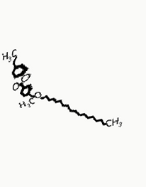 CCCCCCCCCCCCCCCCCCOC(C)c1ccc(C(=O)Oc2ccc(CCC)cc2)cc1